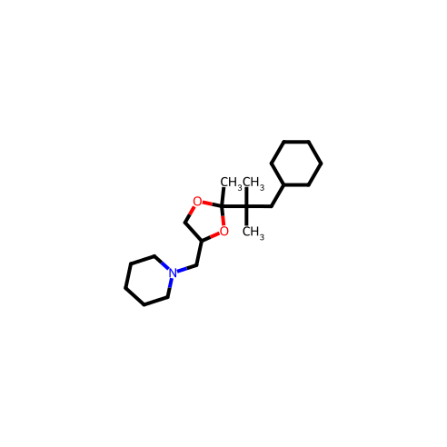 CC(C)(CC1CCCCC1)C1(C)OCC(CN2CCCCC2)O1